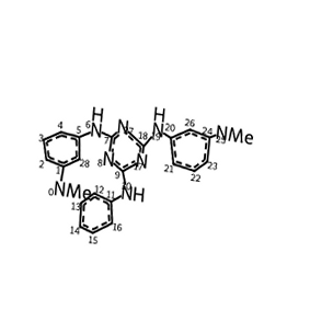 CNc1cccc(Nc2nc(Nc3ccccc3)nc(Nc3cccc(NC)c3)n2)c1